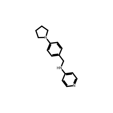 c1cc(NCc2ccc(N3CCCC3)cc2)ccn1